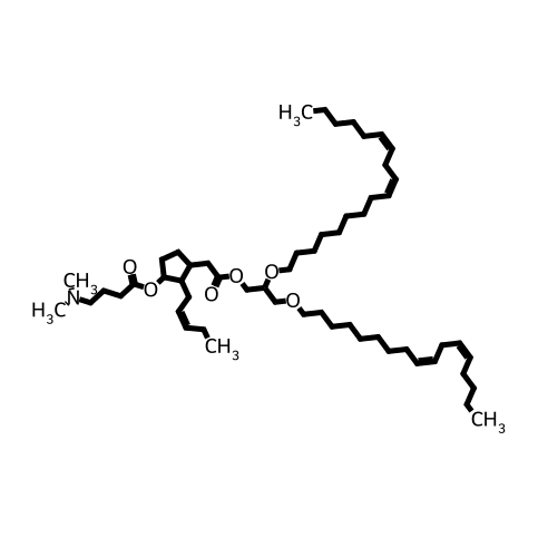 CC/C=C\CC1C(CC(=O)OCC(COCCCCCCCC/C=C\C/C=C\CCCC)OCCCCCCCC/C=C\C/C=C\CCCCC)CCC1OC(=O)CCCN(C)C